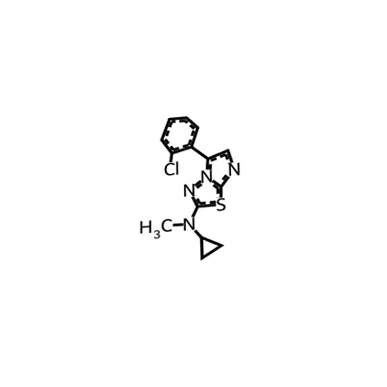 CN(c1nn2c(-c3ccccc3Cl)cnc2s1)C1CC1